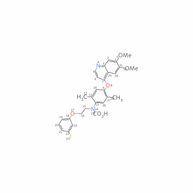 COc1cc2nccc(Oc3cc(C)c(N(CCOc4cccc(F)c4)C(=O)O)cc3C)c2cc1OC